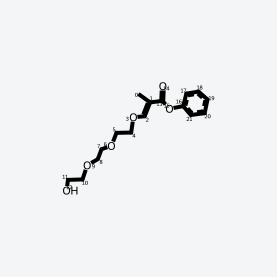 CC(=COCCOCCOCCO)C(=O)Oc1ccccc1